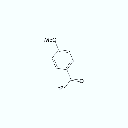 [CH2]CCC(=O)c1ccc(OC)cc1